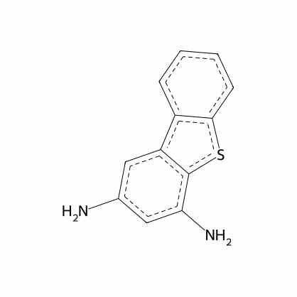 Nc1cc(N)c2sc3ccccc3c2c1